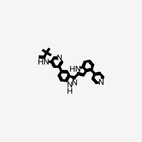 C=C(Nc1cncc(-c2ccc3[nH]nc(-c4cc5c(-c6ccncc6)cccc5[nH]4)c3c2)c1)C(C)(C)C